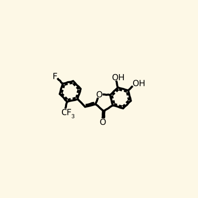 O=C1C(=Cc2ccc(F)cc2C(F)(F)F)Oc2c1ccc(O)c2O